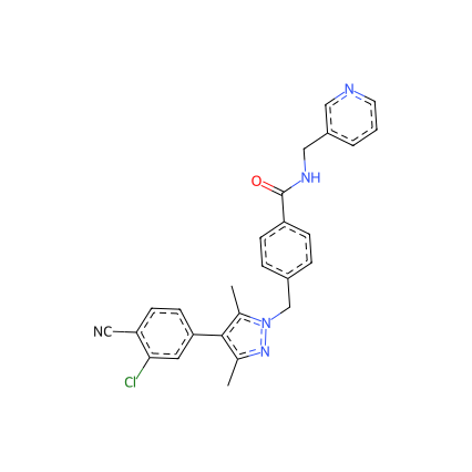 Cc1nn(Cc2ccc(C(=O)NCc3cccnc3)cc2)c(C)c1-c1ccc(C#N)c(Cl)c1